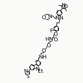 CCn1c2ccc(CNCCOCCOCCNC(=O)COc3ccc(CCc4nc5cc(-c6c(C)noc6C)ccc5n4CCN4CCOCC4)cc3F)cc2c2ccc(-c3cscn3)cc21